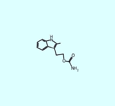 Cc1[nH]c2ccccc2c1CCOC(N)=O